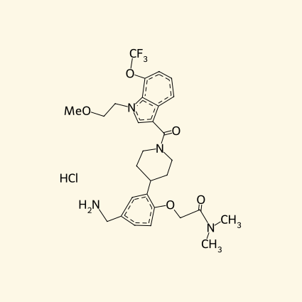 COCCn1cc(C(=O)N2CCC(c3cc(CN)ccc3OCC(=O)N(C)C)CC2)c2cccc(OC(F)(F)F)c21.Cl